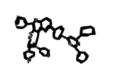 c1ccc(-c2cc(-c3ccc(-c4ccc5nc(-c6ccccc6)c6sc(-c7ccncc7)c(-c7ccncc7)c6c5c4)cc3)nc(-c3ccccc3)n2)cc1